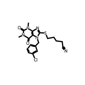 Cn1c(=O)c2c(nc(SCCCCC#N)n2Cc2cccc(Cl)c2)n(C)c1=O